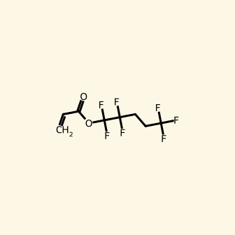 C=CC(=O)OC(F)(F)C(F)(F)CCC(F)(F)F